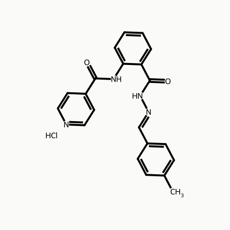 Cc1ccc(/C=N/NC(=O)c2ccccc2NC(=O)c2ccncc2)cc1.Cl